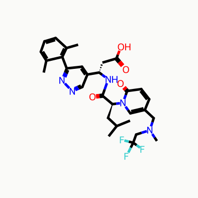 Cc1cccc(C)c1-c1cc([C@H](CC(=O)O)NC(=O)[C@H](CC(C)C)n2cc(CN(C)CC(F)(F)F)ccc2=O)cnn1